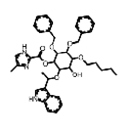 CCCCCOC1C(O)C(OC(C)c2c[nH]c3ccccc23)C(OC(=O)c2nc(C)c[nH]2)C(OCc2ccccc2)C1OCc1ccccc1